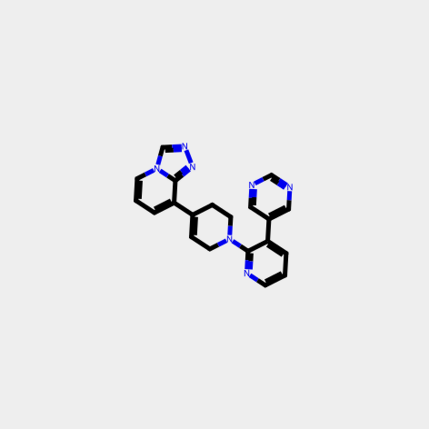 C1=C(c2cccn3cnnc23)CCN(c2ncccc2-c2cncnc2)C1